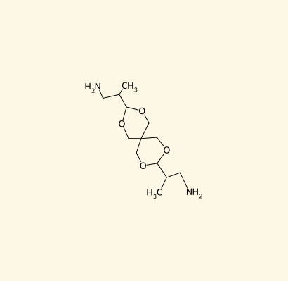 CC(CN)C1OCC2(CO1)COC(C(C)CN)OC2